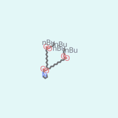 CCCCC(CCCC)CCOC(=O)CCCCCCCCCC(CCCCCCCCCC(=O)OCCC(CCCC)CCCC)OC(=O)CN1CCCC1